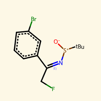 CC(C)(C)[S+]([O-])/N=C(/CF)c1cccc(Br)c1